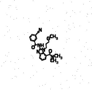 COCCCn1c(NC(=O)c2cccc(C#N)c2)nc2cccc(C(=O)N(C)C)c21